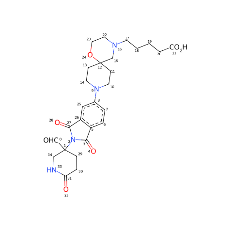 O=CC1(N2C(=O)c3ccc(N4CCC5(CC4)CN(CCCCC(=O)O)CCO5)cc3C2=O)CCC(=O)NC1